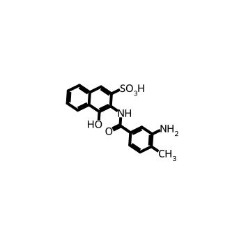 Cc1ccc(C(=O)Nc2c(S(=O)(=O)O)cc3ccccc3c2O)cc1N